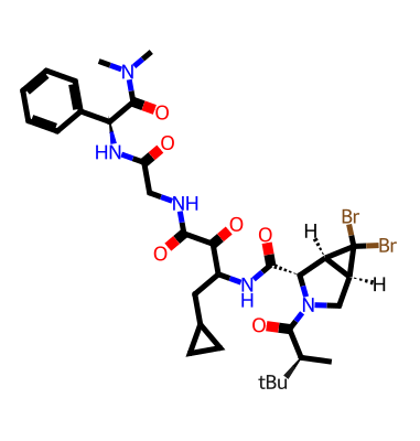 C[C@H](C(=O)N1C[C@H]2[C@@H]([C@H]1C(=O)NC(CC1CC1)C(=O)C(=O)NCC(=O)N[C@H](C(=O)N(C)C)c1ccccc1)C2(Br)Br)C(C)(C)C